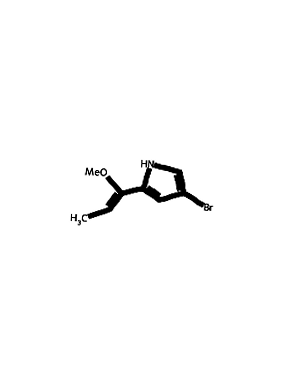 CC=C(OC)c1cc(Br)c[nH]1